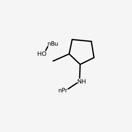 CCCCO.CCCNC1CCCC1C